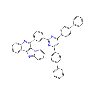 c1ccc(-c2ccc(-c3cc(-c4ccc(-c5ccccc5)cc4)nc(-c4cccc(-c5nc6ccccc6c6nc7ccccn7c56)c4)n3)cc2)cc1